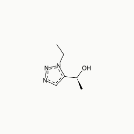 CCn1nncc1[C@H](C)O